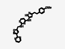 COc1ccc(CCc2cc(Nc3ccnc(NCc4cc(-c5ncccn5)no4)n3)[nH]n2)cc1